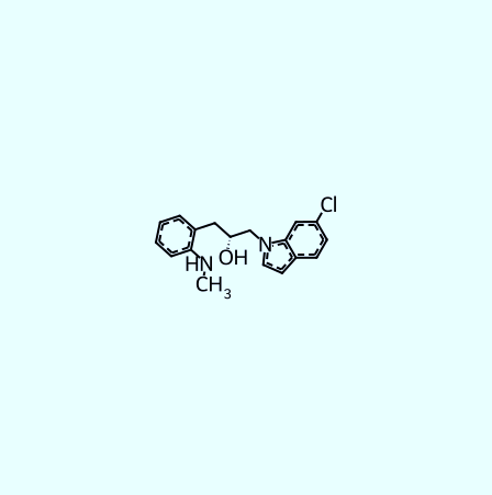 CNc1ccccc1C[C@@H](O)Cn1ccc2ccc(Cl)cc21